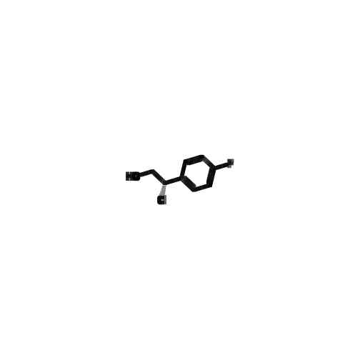 OC[C@@H](Cl)c1ccc(F)cc1